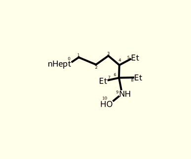 CCCCCCCCCCC(CC)C(CC)(CC)NO